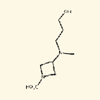 CN(CCCO)C1CN(C(=O)O)C1